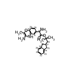 CC1=C(N)Nc2cc(C(N)C(=O)OC(C)(C)CC3Cc4ccccc4C3)ccc2O1